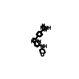 c1cc(-c2cnc3ccc(NC4CCOCC4)nn23)ccc1-c1nn[nH]n1